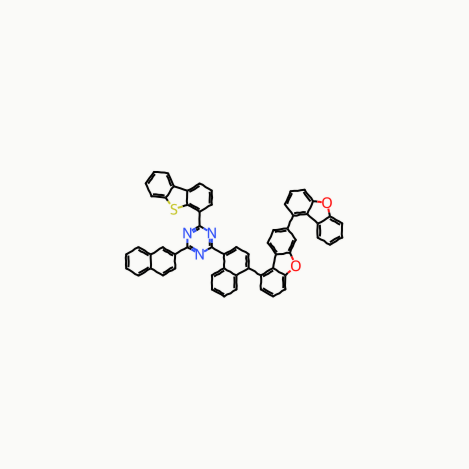 c1ccc2cc(-c3nc(-c4ccc(-c5cccc6oc7cc(-c8cccc9oc%10ccccc%10c89)ccc7c56)c5ccccc45)nc(-c4cccc5c4sc4ccccc45)n3)ccc2c1